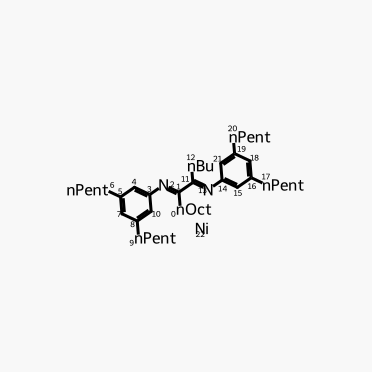 CCCCCCCCC(=N\c1cc(CCCCC)cc(CCCCC)c1)/C(CCCC)=N/c1cc(CCCCC)cc(CCCCC)c1.[Ni]